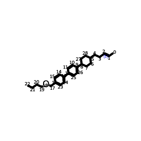 C/C=C/CCC1CCC(c2ccc(-c3ccc(COCCCC)cc3)cc2)CC1